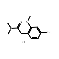 COc1cc(N)ccc1CC(=O)N(C)C.Cl